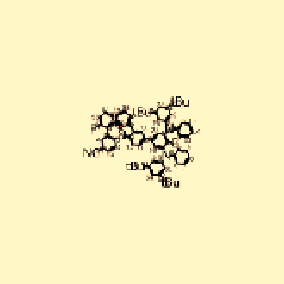 CC(C)(C)c1cc(N2c3ccccc3B3c4ccccc4N(c4cc(C(C)(C)C)cc(C(C)(C)C)c4)c4cc(-c5ccc6c(c5)c5ccccc5n6-c5ccc(C#N)cc5-c5c(F)cccc5F)cc2c43)cc(C(C)(C)C)c1